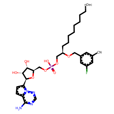 CCCCCCCCCCCCCCCCCC[C@H](COP(=O)(O)OC[C@H]1O[C@@H](c2ccc3c(N)ncnn23)[C@H](O)[C@@H]1O)OCc1cc(F)cc(C#N)c1